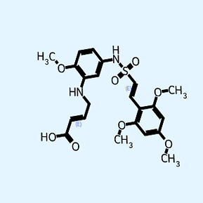 COc1cc(OC)c(/C=C/S(=O)(=O)Nc2ccc(OC)c(NC/C=C/C(=O)O)c2)c(OC)c1